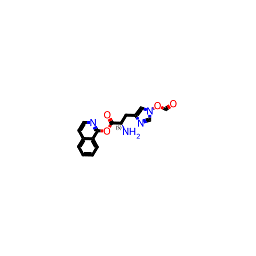 N[C@@H](Cc1cn(OC=O)cn1)C(=O)Oc1nccc2ccccc12